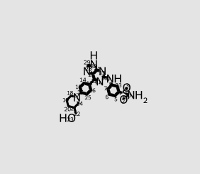 NS(=O)(=O)c1cccc(Nc2nc(-c3ccc(N4CCCC(CO)C4)cc3)c3nc[nH]c3n2)c1